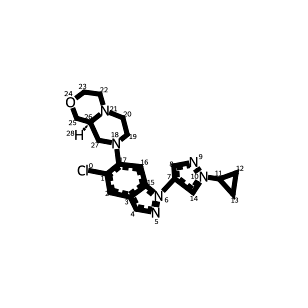 Clc1cc2cnn(-c3cnn(C4CC4)c3)c2cc1N1CCN2CCOC[C@@H]2C1